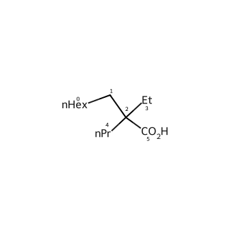 CCCCCCCC(CC)(CCC)C(=O)O